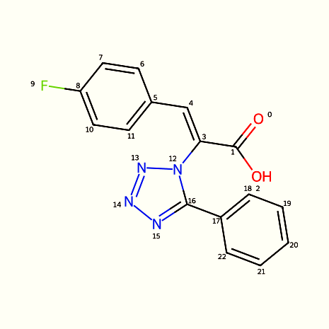 O=C(O)C(=Cc1ccc(F)cc1)n1nnnc1-c1ccccc1